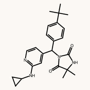 CC1(C)NC(=O)N(C(c2ccc(C(C)(C)C)cc2)c2ccnc(NC3CC3)c2)C1=O